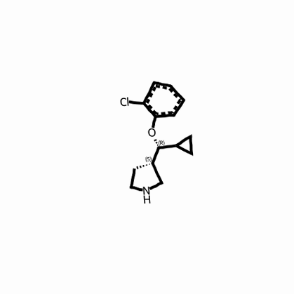 Clc1ccccc1O[C@H](C1CC1)[C@H]1CCNC1